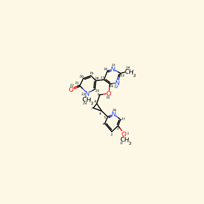 COc1ccc(C2CC2COc2nc(C)ncc2-c2ccc(=O)n(C)c2)nc1